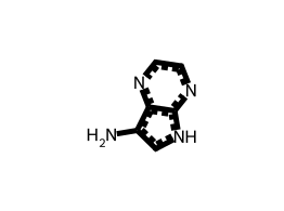 Nc1c[nH]c2nccnc12